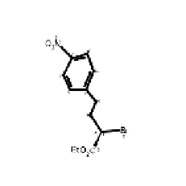 CCOC(=O)[C@H](Br)CCc1ccc([N+](=O)[O-])cc1